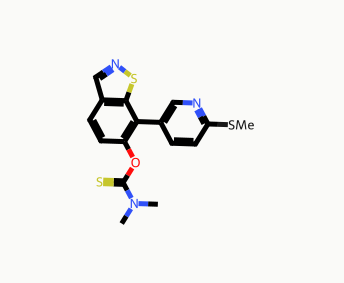 CSc1ccc(-c2c(OC(=S)N(C)C)ccc3cnsc23)cn1